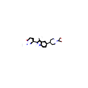 CC(C)c1c(-c2ccc(=O)n(C)c2)[nH]c2ccc(C3CCN(C4COC4)CC3)cc12